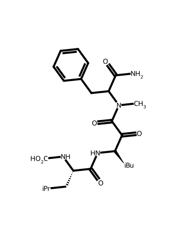 CC[C@H](C)C(NC(=O)[C@H](CC(C)C)NC(=O)O)C(=O)C(=O)N(C)C(Cc1ccccc1)C(N)=O